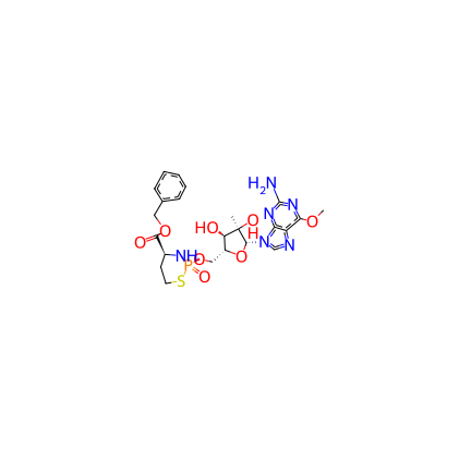 COc1nc(N)nc2c1ncn2[C@@H]1O[C@H](CO[P@]2(=O)N[C@H](C(=O)OCc3ccccc3)CCS2)[C@@H](O)[C@@]1(C)O